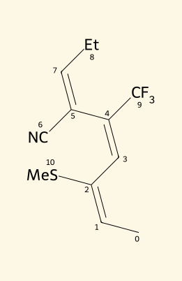 C\C=C(/C=C(\C(C#N)=C/CC)C(F)(F)F)SC